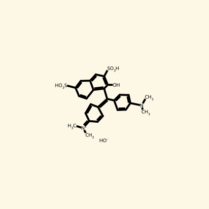 CN(C)c1ccc(C(=C2C=CC(=[N+](C)C)C=C2)c2c(O)c(S(=O)(=O)O)cc3cc(S(=O)(=O)O)ccc23)cc1.[OH-]